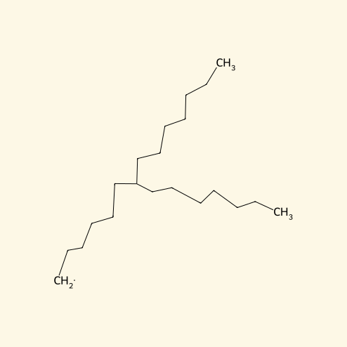 [CH2]CCCCCC(CCCCCCC)CCCCCCC